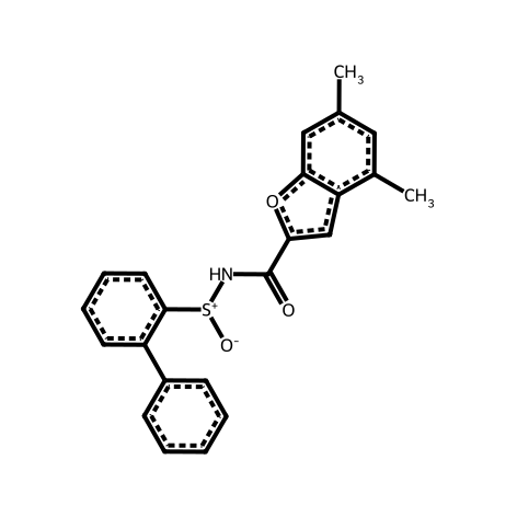 Cc1cc(C)c2cc(C(=O)N[S+]([O-])c3ccccc3-c3ccccc3)oc2c1